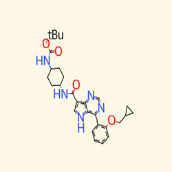 CC(C)(C)OC(=O)N[C@H]1CC[C@H](NC(=O)c2c[nH]c3c(-c4ccccc4OCC4CC4)ncnc23)CC1